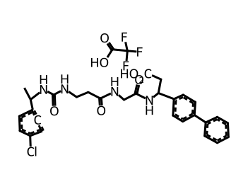 CC(NC(=O)NCCC(=O)NCC(=O)NC(CC(=O)O)c1ccc(-c2ccccc2)cc1)c1ccc(Cl)cc1.O=C(O)C(F)(F)F